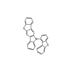 c1ccc2c(c1)sc1cc3c4ccccc4n(-c4cccc5sc6ccccc6c45)c3cc12